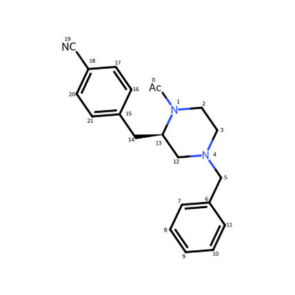 CC(=O)N1CCN(Cc2ccccc2)C[C@H]1Cc1ccc(C#N)cc1